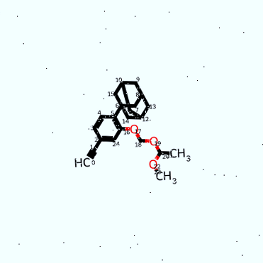 C#Cc1ccc(C23CC4CC(CC(C4)C2)C3)c(OCOC(C)OC)c1